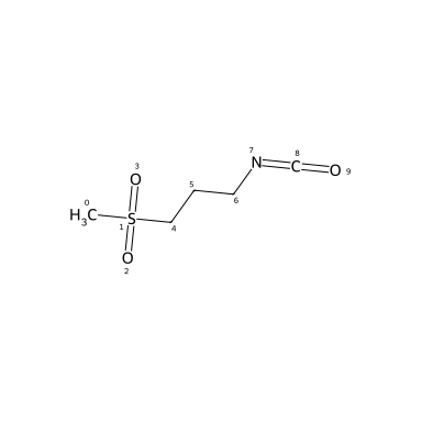 CS(=O)(=O)CCCN=C=O